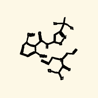 C=CCN(CC=C)C(=O)C(Cl)Cl.CCC(C)(CC)c1cc(NC(=O)c2c(OC)cccc2OC)on1